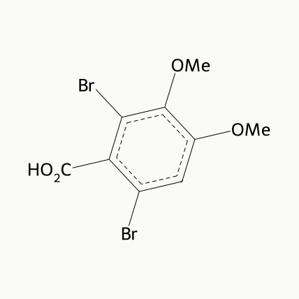 COc1cc(Br)c(C(=O)O)c(Br)c1OC